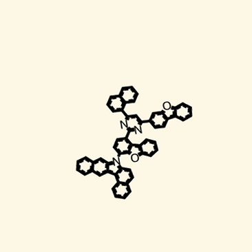 c1ccc2cc3c(cc2c1)c1c2ccccc2ccc1n3-c1ccc(-c2nc(-c3ccc4c(c3)oc3ccccc34)cc(-c3cccc4ccccc34)n2)c2c1oc1ccccc12